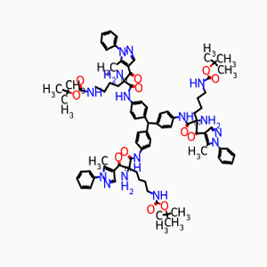 Cc1c(C(=O)[C@@](N)(CCCCNC(=O)OC(C)(C)C)C(=O)Nc2ccc(C(c3ccc(NC(=O)[C@](N)(CCCCNC(=O)OC(C)(C)C)C(=O)c4cnn(-c5ccccc5)c4C)cc3)c3ccc(NC(=O)[C@](N)(CCCCNC(=O)OC(C)(C)C)C(=O)c4cnn(-c5ccccc5)c4C)cc3)cc2)cnn1-c1ccccc1